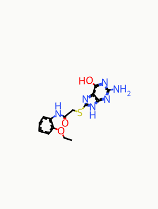 CCOc1ccccc1NC(=O)CSc1nc2c(O)nc(N)nc2[nH]1